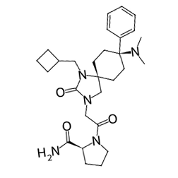 CN(C)[C@]1(c2ccccc2)CC[C@@]2(CC1)CN(CC(=O)N1CCC[C@H]1C(N)=O)C(=O)N2CC1CCC1